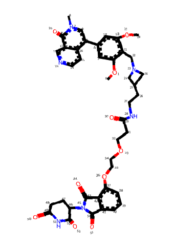 COc1cc(-c2cn(C)c(=O)c3cnccc23)cc(OC)c1CN1CC(CCNC(=O)CCOCCOc2cccc3c2C(=O)N(C2CCC(=O)NC2=O)C3=O)C1